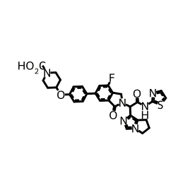 O=C(Nc1nccs1)C(c1ncn2c1CCC2)N1Cc2c(F)cc(-c3ccc(OC4CCN(C(=O)O)CC4)cc3)cc2C1=O